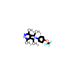 Cc1nnc(C)c2c(C)n(-c3ccc(OC(F)(F)F)cc3)c(C)c12